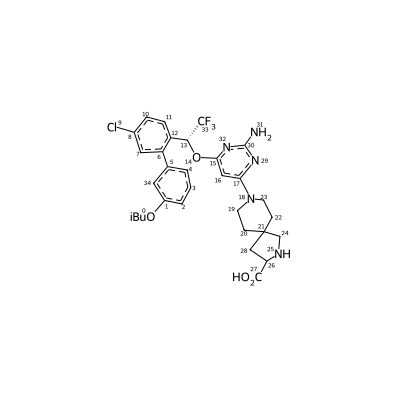 CC(C)COc1cccc(-c2cc(Cl)ccc2[C@@H](Oc2cc(N3CCC4(CC3)CNC(C(=O)O)C4)nc(N)n2)C(F)(F)F)c1